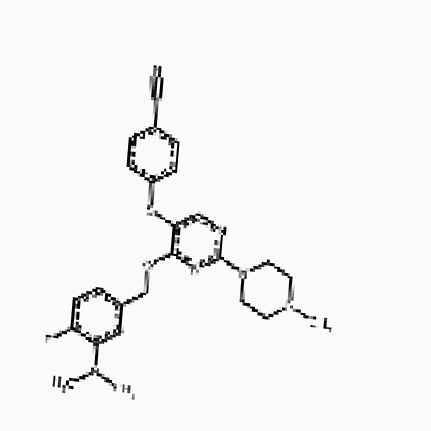 CN1CCN(c2ncc(Sc3ccc(C#N)cc3)c(OCc3ccc(F)c(N(C)C)c3)n2)CC1